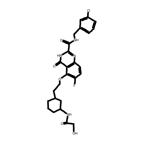 O=C(CO)NC1CCCC(CCOc2c(F)ccc3nc(C(=O)NCc4cccc(Cl)c4)[nH]c(=O)c23)C1